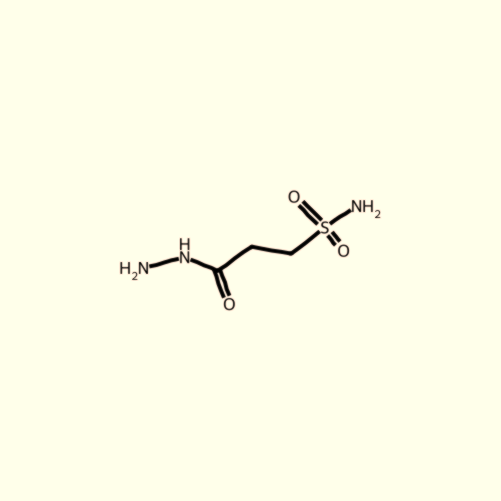 NNC(=O)CCS(N)(=O)=O